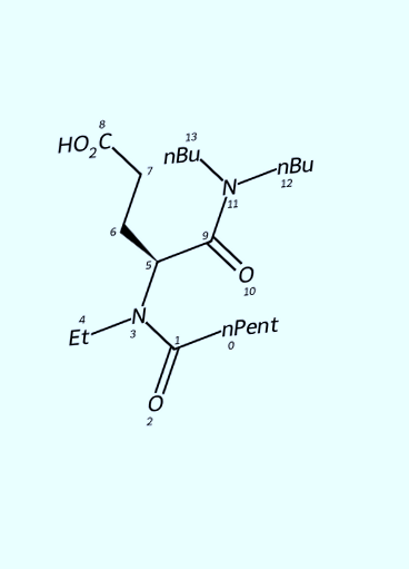 CCCCCC(=O)N(CC)[C@@H](CCC(=O)O)C(=O)N(CCCC)CCCC